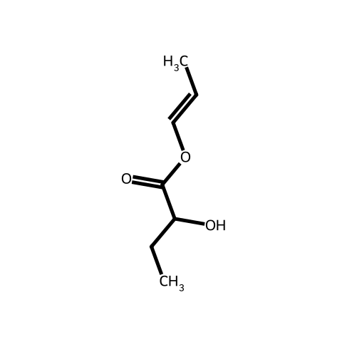 CC=COC(=O)C(O)CC